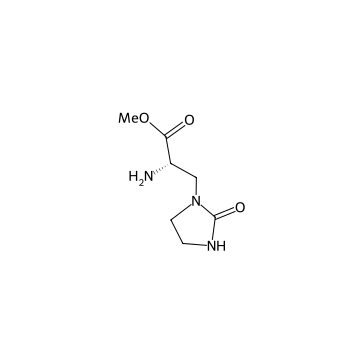 COC(=O)[C@@H](N)CN1CCNC1=O